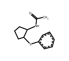 CC(=O)NC1CCCC1Sc1ccccc1